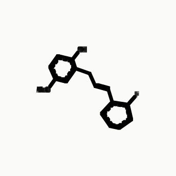 COc1ccc(O)c(C/C=C/c2ccccc2F)c1